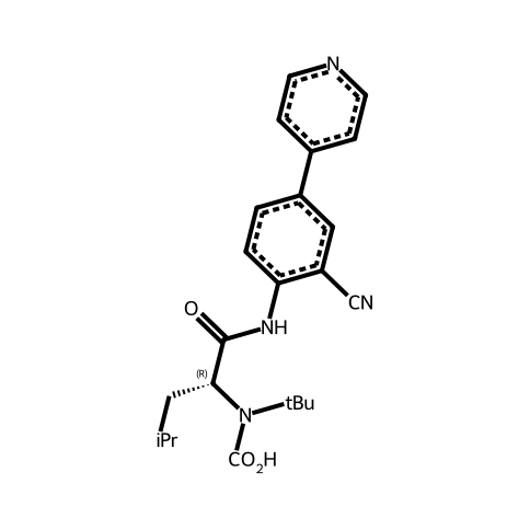 CC(C)C[C@H](C(=O)Nc1ccc(-c2ccncc2)cc1C#N)N(C(=O)O)C(C)(C)C